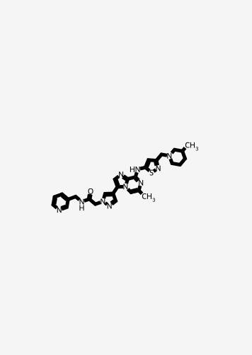 Cc1cn2c(-c3cnn(CC(=O)NCc4cccnc4)c3)cnc2c(Nc2cc(CN3CCCC(C)C3)ns2)n1